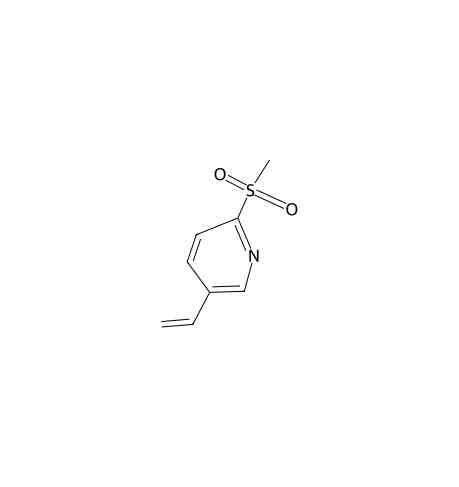 C=Cc1ccc(S(C)(=O)=O)nc1